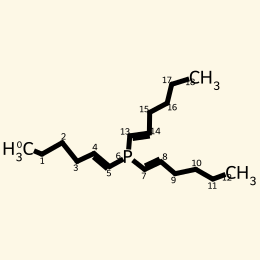 CCCC/C=C/P(/C=C/CCCC)/C=C/CCCC